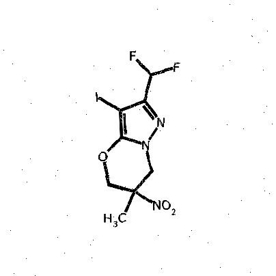 CC1([N+](=O)[O-])COc2c(I)c(C(F)F)nn2C1